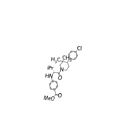 COC(=O)c1ccc(N[C@@H](C(=O)N2CCC(c3ccc(Cl)cc3)C(C)(C)C2)C(C)C)cc1